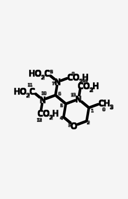 CC1COCC(C(N(C(=O)O)C(=O)O)N(C(=O)O)C(=O)O)N1C(=O)O